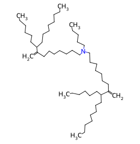 C=C(CCCCCCCN(CCCCC)CCCCCCCC(=C)C(CCCCCC)CCCCCCCC)C(CCCCCC)CCCCCCCC